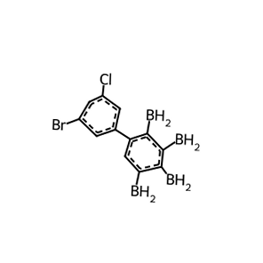 Bc1cc(-c2cc(Cl)cc(Br)c2)c(B)c(B)c1B